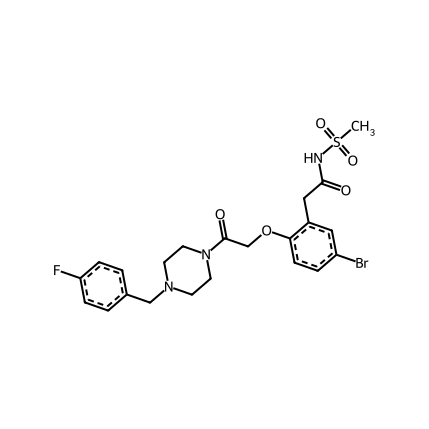 CS(=O)(=O)NC(=O)Cc1cc(Br)ccc1OCC(=O)N1CCN(Cc2ccc(F)cc2)CC1